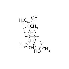 C=C(CO)[C@H]1CC[C@H]2[C@@H]3CC(C)(C)[C@H]4C[C@](C)(O)CC[C@@H]4[C@H]3CC[C@]12C